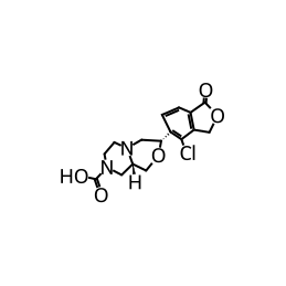 O=C1OCc2c1ccc([C@H]1CN3CCN(C(=O)O)C[C@H]3CO1)c2Cl